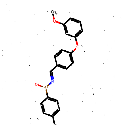 COc1cccc(Oc2ccc(/C=N/[S@+]([O-])c3ccc(C)cc3)cc2)c1